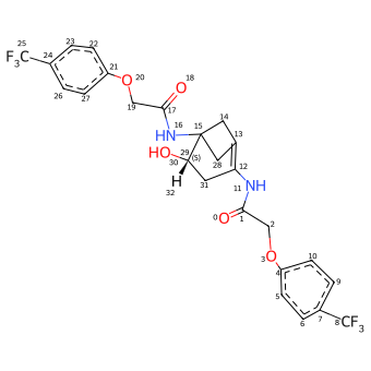 O=C(COc1ccc(C(F)(F)F)cc1)NC1=C2CC(NC(=O)COc3ccc(C(F)(F)F)cc3)(C2)[C@@H](O)C1